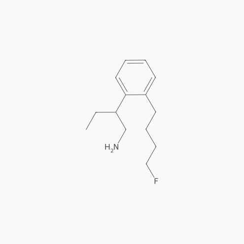 CCC(CN)c1ccccc1CCCCF